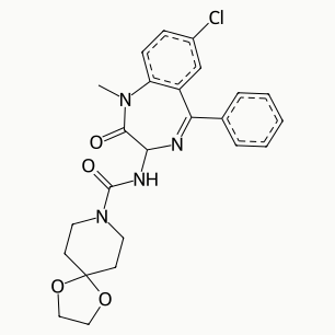 CN1C(=O)C(NC(=O)N2CCC3(CC2)OCCO3)N=C(c2ccccc2)c2cc(Cl)ccc21